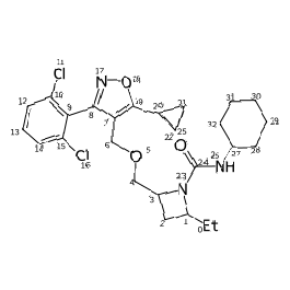 CCC1CC(COCc2c(-c3c(Cl)cccc3Cl)noc2C2CC2)N1C(=O)NC1CCCCC1